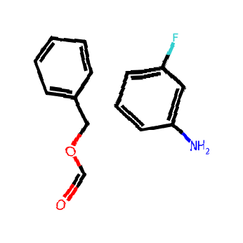 Nc1cccc(F)c1.O=COCc1ccccc1